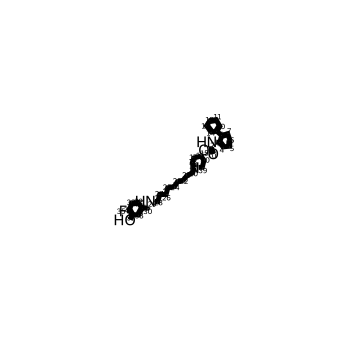 O=C(Nc1ccccc1-c1ccccc1)OC1CCN(CCCCCCCCCNCc2ccc(F)c(O)c2)CC1